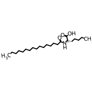 CCCCCCCCCCCCCCCC(=O)N[C@@H](CCCCC)C(=O)O